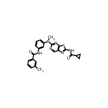 CN(c1cccc(NC(=O)c2cccc(C(F)(F)F)c2)c1)c1ncc2nc(NC(=O)C3CC3)sc2n1